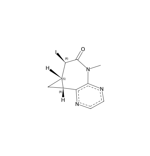 CN1C(=O)[C@H](I)[C@H]2C[C@H]2c2nccnc21